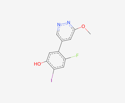 COc1cc(-c2cc(O)c(I)cc2F)cnn1